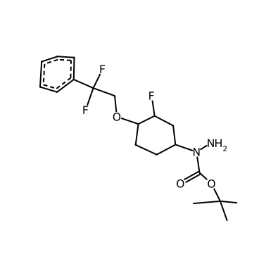 CC(C)(C)OC(=O)N(N)C1CCC(OCC(F)(F)c2ccccc2)C(F)C1